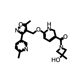 Cc1ccc(-c2noc(C)c2COC2=CC=C(C(=O)N3CC(C)(O)C3)CN2)cn1